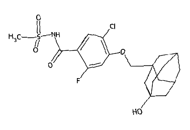 CS(=O)(=O)NC(=O)c1cc(Cl)c(OCC23CC4CC(CC(O)(C4)C2)C3)cc1F